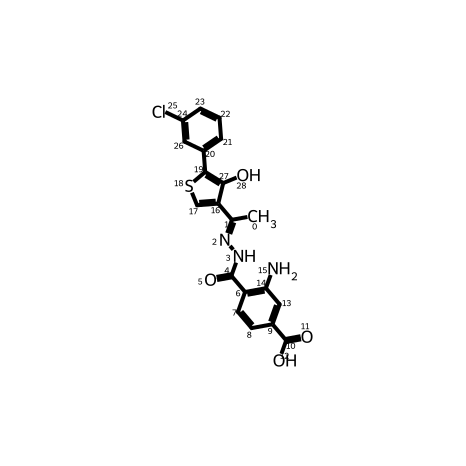 C/C(=N\NC(=O)c1ccc(C(=O)O)cc1N)c1csc(-c2cccc(Cl)c2)c1O